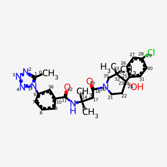 Cc1nnnn1-c1cccc(C(=O)NC(C)(C)CC(=O)N2CC[C@](O)(c3ccc(Cl)cc3)C(C)(C)C2)c1